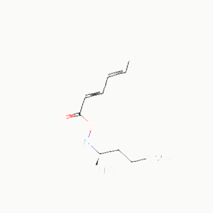 C/C=C/C=C/C(=O)ON[C@H](C=O)CCSC